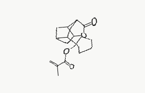 C=C(C)C(=O)OC1(C2C3CC4OC(=O)C2C4C3)CCCC1